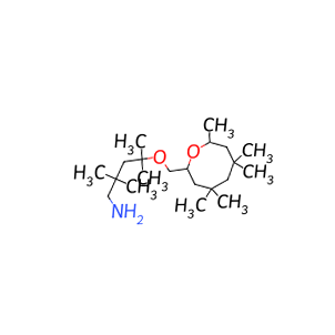 CC1CC(C)(C)CC(C)(C)CC(COC(C)(C)CC(C)(C)CN)O1